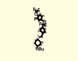 CCCC[C@H]1CC[C@H](CCc2ccc(C(F)(F)Oc3ccc(OC(F)F)c(F)c3)cc2)CC1